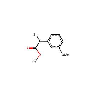 CCCOC(=O)C(CC)c1cccc(OC)c1